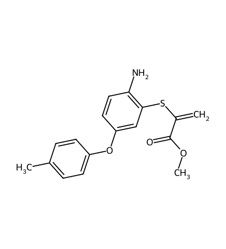 C=C(Sc1cc(Oc2ccc(C)cc2)ccc1N)C(=O)OC